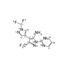 Nc1c(-c2cnn(C(F)F)c2)c(C(F)(F)F)nn1-c1ncccn1